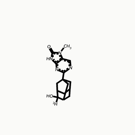 [2H]C1(O)C2CC3CC1CC(c1ncc4c(n1)[nH]c(=O)n4C)(C3)C2